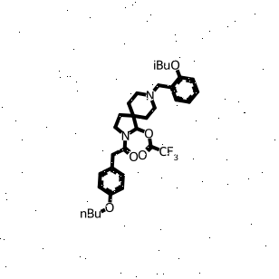 CCCCOc1ccc(CC(=O)N2CCC3(CCN(Cc4ccccc4OCC(C)C)CC3)C2OC(=O)C(F)(F)F)cc1